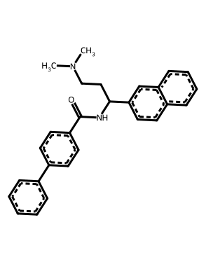 CN(C)CCC(NC(=O)c1ccc(-c2ccccc2)cc1)c1ccc2ccccc2c1